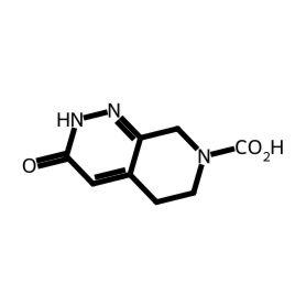 O=C(O)N1CCc2cc(=O)[nH]nc2C1